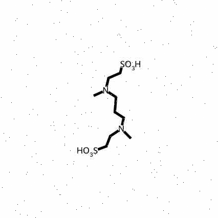 CN(CCCN(C)CCS(=O)(=O)O)CCS(=O)(=O)O